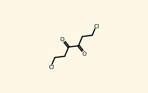 O=C(CCCl)C(=O)CCCl